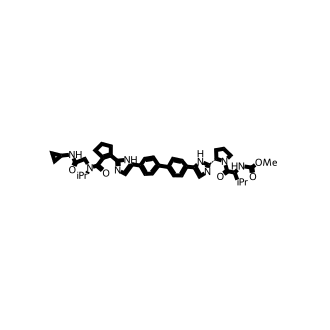 COC(=O)NC(C(=O)N1CCC[C@H]1c1ncc(-c2ccc(-c3ccc(-c4cnc(C5=C(C(=O)N(CC(=O)NC6CC6)C(C)C)CCC5)[nH]4)cc3)cc2)[nH]1)C(C)C